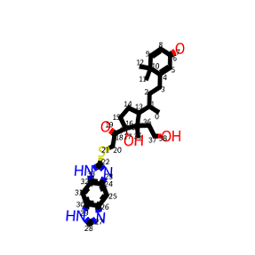 CC(CCC1=CC(=O)C=CC1(C)C)C1CC[C@](O)(C(=O)CSc2nc3cc4nc[nH]c4cc3[nH]2)C1(C)CCO